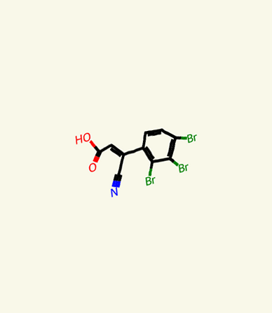 N#CC(=CC(=O)O)c1ccc(Br)c(Br)c1Br